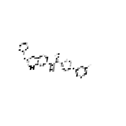 Cc1cccc(-c2ccc(C(=O)Nc3ccc4cc(CN5CCCC5)cnc4c3C)cc2)c1